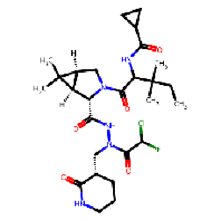 CCC(C)(C)C(NC(=O)C1CC1)C(=O)N1C[C@H]2[C@@H]([C@H]1C(=O)NN(C[C@@H]1CCCNC1=O)C(=O)C(F)Cl)C2(C)C